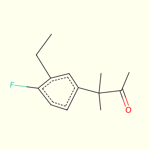 CCc1cc(C(C)(C)C(C)=O)ccc1F